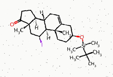 CC(C)(C)[Si](C)(C)O[C@H]1CC[C@@]2(C)C(=CC[C@@H]3[C@@H]2[C@@H](I)C[C@]2(C)C(=O)CC[C@@H]32)C1